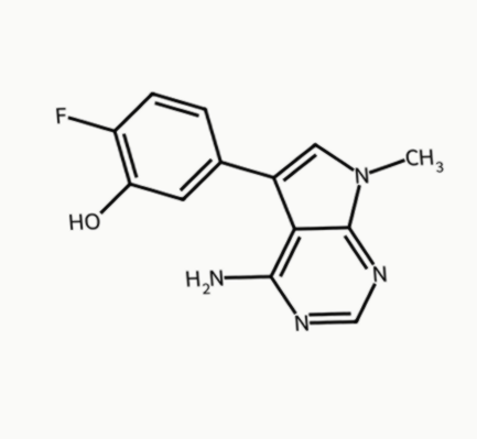 Cn1cc(-c2ccc(F)c(O)c2)c2c(N)ncnc21